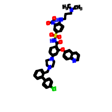 CN(C)CCCNc1ccc(S(=O)(=O)NC(=O)c2ccc(N3CCN(Cc4ccccc4-c4ccc(Cl)cc4)CC3)cc2Oc2ccc3ncccc3c2)cc1[N+](=O)[O-]